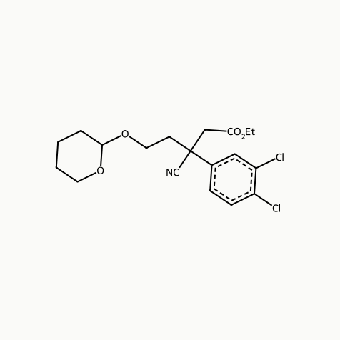 CCOC(=O)CC(C#N)(CCOC1CCCCO1)c1ccc(Cl)c(Cl)c1